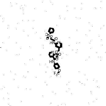 O=C(COS(=O)(=O)c1ccccc1)Nc1cc(COS(=O)(=O)c2ncccc2C(=O)Nc2ccc(OC(F)(F)F)cc2)ccn1